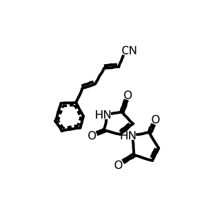 N#CC=CC=Cc1ccccc1.O=C1C=CC(=O)N1.O=C1C=CC(=O)N1